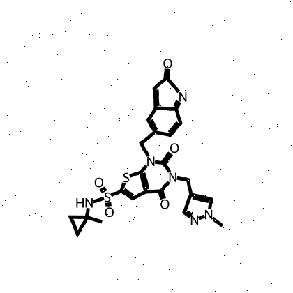 Cn1cc(Cn2c(=O)c3cc(S(=O)(=O)NC4(C)CC4)sc3n(Cc3ccc4c(c3)=CC(=O)N=4)c2=O)cn1